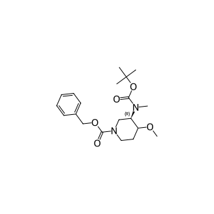 COC1CCN(C(=O)OCc2ccccc2)C[C@H]1N(C)C(=O)OC(C)(C)C